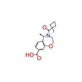 C[C@@H]1c2ccc(C(=O)O)cc2OCCN1C(=O)C1(C)CCC1